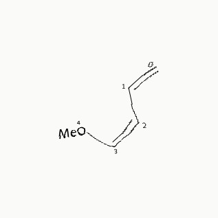 C=C/C=C\OC